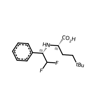 CC(C)(C)CC[C@H](N[C@@H](c1ccccc1)C(F)F)C(=O)O